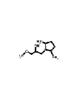 CC1CCC(C)N1CC(O)CON